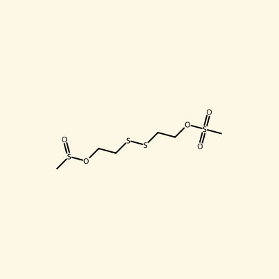 CS(=O)OCCSSCCOS(C)(=O)=O